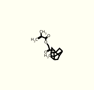 C=C(C)C(=O)OCC(=O)OC1(C)C2CC3CC34CC1C4C2